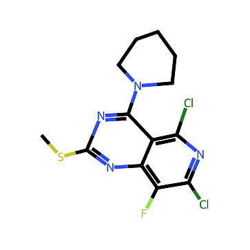 CSc1nc(N2CCCCC2)c2c(Cl)nc(Cl)c(F)c2n1